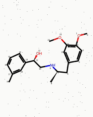 COc1ccc(C[C@@H](C)NC[C@H](O)c2cccc(C)c2)cc1OC